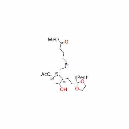 CCCCCC1(CC[C@H]2C(O)C[C@H](OC(C)=O)[C@@H]2C/C=C\CCCC(=O)OC)OCCO1